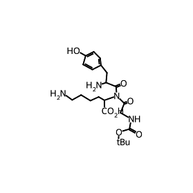 CC(C)(C)OC(=O)NCC(=O)N(C(=O)C(N)Cc1ccc(O)cc1)C(CCCCN)C(=O)O